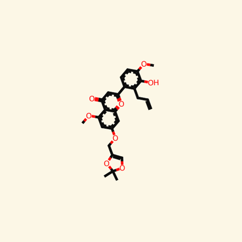 C=CCc1c(-c2cc(=O)c3c(OC)cc(OCC4=COC(C)(C)O4)cc3o2)ccc(OC)c1O